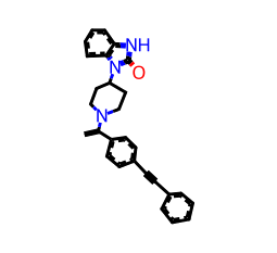 C=C(c1ccc(C#Cc2ccccc2)cc1)N1CCC(n2c(=O)[nH]c3ccccc32)CC1